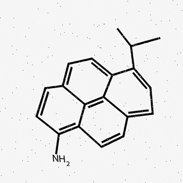 CC(C)c1ccc2ccc3c(N)ccc4ccc1c2c43